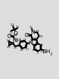 Bc1ccc2c(c1)c1c(n2-c2ccc(CC3(NC(=O)OC(C)(C)C)CC3)cc2)C(=O)N(C)CC1